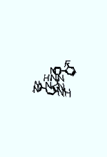 Cn1cc(-c2ccc3[nH]nc(-c4nc5c(-c6ccccc6F)ccnc5[nH]4)c3n2)cn1